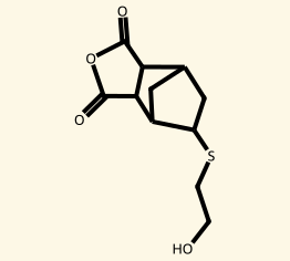 O=C1OC(=O)C2C3CC(CC3SCCO)C12